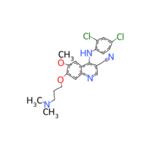 COc1cc2c(Nc3ccc(Cl)cc3Cl)c(C#N)cnc2cc1OCCCN(C)C